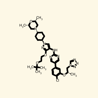 C[C@@H]1CN([C@H]2CC[C@H](n3cc(Nc4ncc(-c5ccc(Cl)c(O[C@@H](C)Cn6cnnn6)c5)cn4)c(OCCOC(C)(C)C)n3)CC2)C[C@H](C)O1